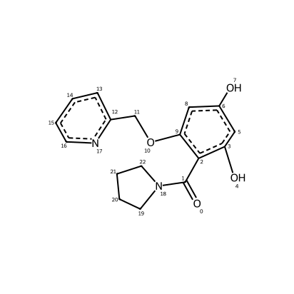 O=C(c1c(O)cc(O)cc1OCc1ccccn1)N1CCCC1